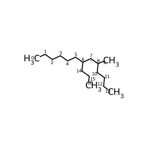 CCCCCCC([CH]C(C)CCCC)CCC